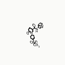 CS(=O)(=O)c1ccc(-n2cc(C(=O)NC3CN4CCC3CC4)ccc2=O)cc1